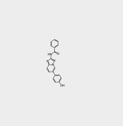 O=C(Nc1nc2ccc(-c3ccc(O)cc3)cn2n1)c1ccccc1